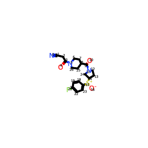 N#CCC(=O)N1CCC(C(=O)N2CCC([S+]([O-])c3ccc(F)cc3)C2)CC1